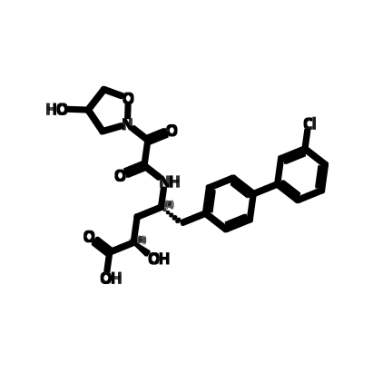 O=C(N[C@H](Cc1ccc(-c2cccc(Cl)c2)cc1)C[C@@H](O)C(=O)O)C(=O)N1CC(O)CO1